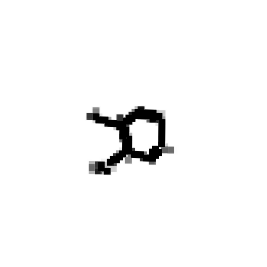 [CH2]c1ccncc1O